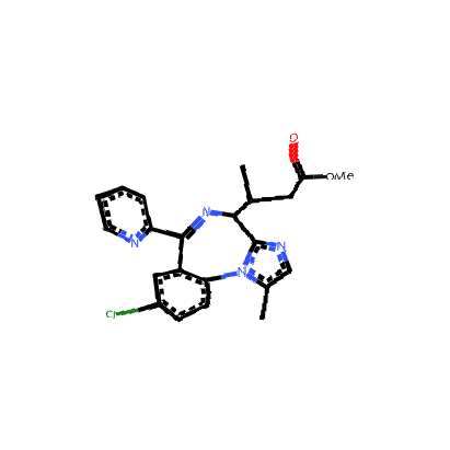 COC(=O)CC(C)C1N=C(c2ccccn2)c2cc(Cl)ccc2-n2c(C)cnc21